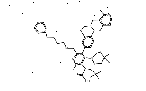 Cc1cccc(Cl)c1CN1CCc2cc(-c3c(CNCCCCc4ccccc4)nc(C)c(C(OC(C)(C)C)C(=O)O)c3N3CCC(C)(C)CC3)ccc2C1